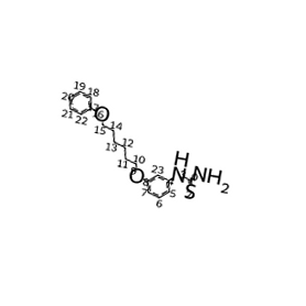 NC(=S)Nc1cccc(OCCCCCCOc2ccccc2)c1